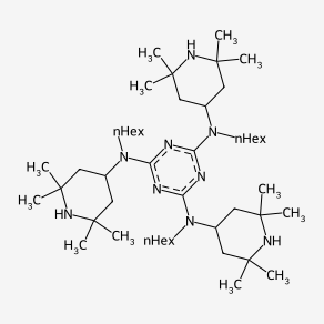 CCCCCCN(c1nc(N(CCCCCC)C2CC(C)(C)NC(C)(C)C2)nc(N(CCCCCC)C2CC(C)(C)NC(C)(C)C2)n1)C1CC(C)(C)NC(C)(C)C1